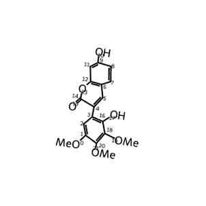 COc1cc(-c2cc3ccc(O)cc3oc2=O)c(O)c(OC)c1OC